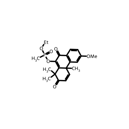 CCOP(C)(=O)OC1=C2C(C)(C)C(=O)C=CC2(C)c2cc(OC)ccc2C1=O